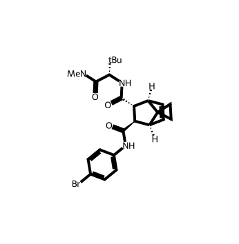 CNC(=O)[C@@H](NC(=O)[C@H]1[C@H](C(=O)Nc2ccc(Br)cc2)[C@@H]2C=C[C@H]1C21CC1)C(C)(C)C